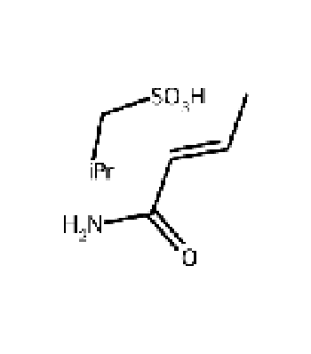 CC(C)CS(=O)(=O)O.CC=CC(N)=O